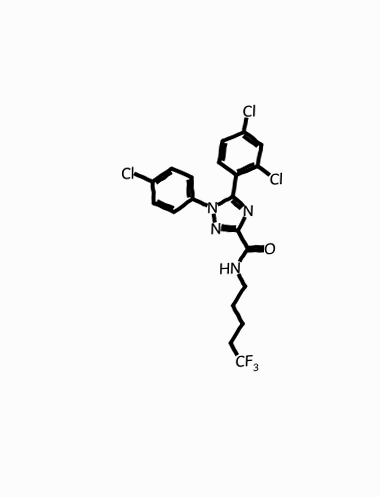 O=C(NCCCCC(F)(F)F)c1nc(-c2ccc(Cl)cc2Cl)n(-c2ccc(Cl)cc2)n1